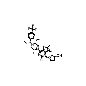 CC[C@@H]1CN(c2nc(=O)n(C)c3c2nc(C)n3C[C@H]2OCC[C@@H]2O)[C@@H](C)CN1[C@H](CC)c1ccc(C(F)(F)F)cc1